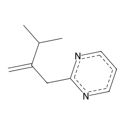 C=C(Cc1ncccn1)C(C)C